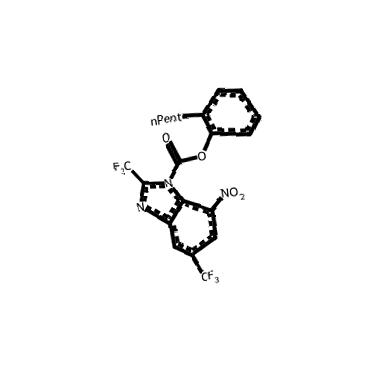 CCCCCc1ccccc1OC(=O)n1c(C(F)(F)F)nc2cc(C(F)(F)F)cc([N+](=O)[O-])c21